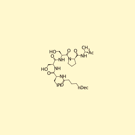 CCCCCCCCCCCCCC(=O)N[C@@H](CC(C)C)C(=O)N[C@@H](CO)C(=O)N[C@@H](CO)C(=O)N1CCC[C@@H]1C(=O)N[C@@H](C)C(C)=O